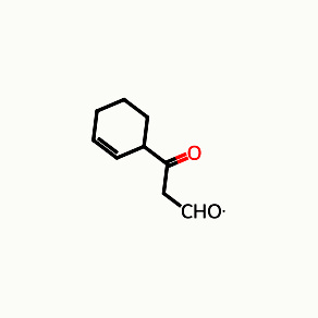 O=[C]CC(=O)C1C=CCCC1